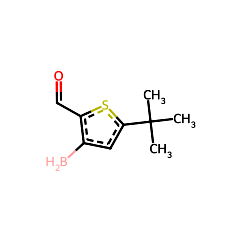 Bc1cc(C(C)(C)C)sc1C=O